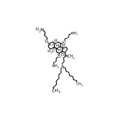 CCCCCCCCN(CCCCCCCC)CCC[C@@H](C)C1CC[C@H]2[C@@H]3[C@H](OCCCN)C[C@@H]4C[C@H](OCCCN)CC[C@]4(C)[C@H]3C[C@H](OCCCN)[C@]12C